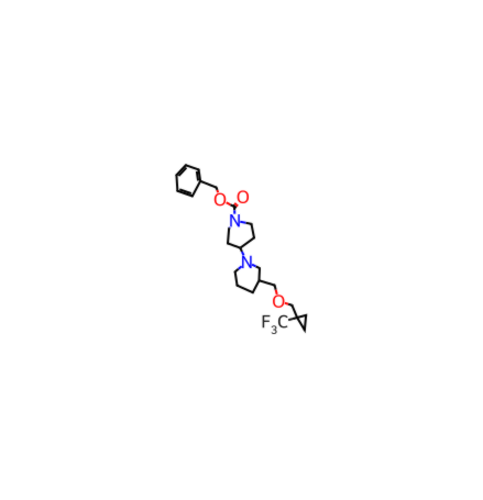 O=C(OCc1ccccc1)N1CCC(N2CCCC(COCC3(C(F)(F)F)CC3)C2)CC1